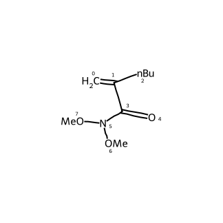 C=C(CCCC)C(=O)N(OC)OC